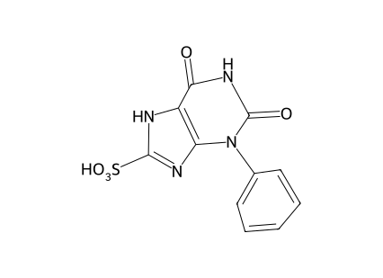 O=c1[nH]c(=O)n(-c2ccccc2)c2nc(S(=O)(=O)O)[nH]c12